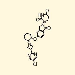 O=C1CC[C@@H](N2Cc3cc(O[C@@H]4CCCC[C@H]4N4CC(c5ncc(Cl)cn5)C4)ccc3C2=O)C(=O)N1